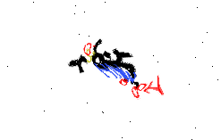 CCc1cc([C@]2(CC)NC(=O)N(CCC(=O)O)C=C2C(C)C)ccc1[S+]([O-])CCC(C)C